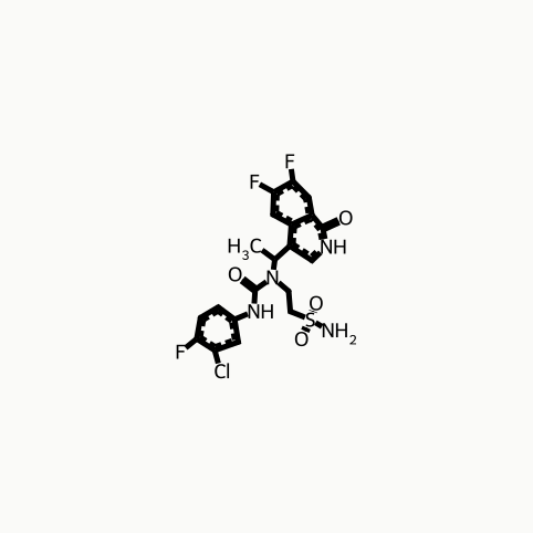 CC(c1c[nH]c(=O)c2cc(F)c(F)cc12)N(CCS(N)(=O)=O)C(=O)Nc1ccc(F)c(Cl)c1